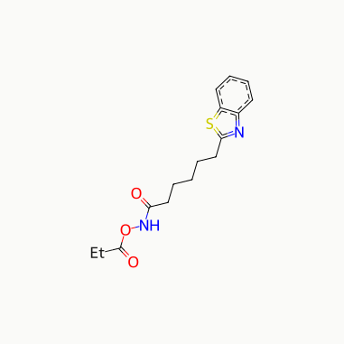 CCC(=O)ONC(=O)CCCCCc1nc2ccccc2s1